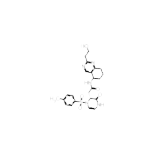 Cc1ccc(S(=O)(=O)N2C=CNC(=O)[C@H]2CC(=O)NC2CCCc3nc(CCO)ncc32)cc1